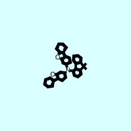 CC1(C)c2ccccc2-c2c(N(c3ccc4c(c3)oc3ccccc34)c3ccc4c(c3)oc3ccccc34)cccc21